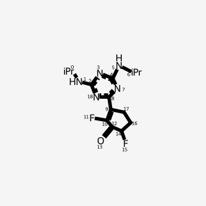 CC(C)Nc1nc(NC(C)C)nc(C2=C(F)C(=O)C(F)CC2)n1